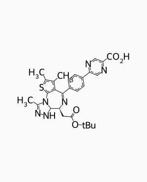 CC1=NNC2[C@H](CC(=O)OC(C)(C)C)N=C(c3ccc(-c4cnc(C(=O)O)cn4)cc3)c3c(sc(C)c3C)N12